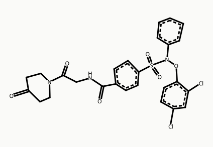 O=C1CCN(C(=O)CNC(=O)c2ccc(S(=O)(=O)N(Oc3ccc(Cl)cc3Cl)c3ccccc3)cc2)CC1